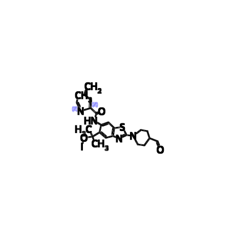 C=C/C=C(\N=C/C)C(=O)Nc1cc2sc(N3CCC(C=O)CC3)nc2cc1C(C)(C)OI